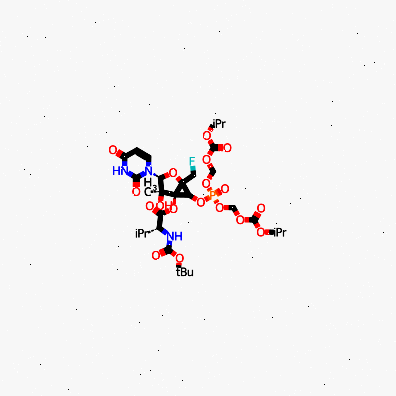 CC(C)OC(=O)OCOP(=O)(OCOC(=O)OC(C)C)OC1C2(CF)O[C@@H](n3ccc(=O)[nH]c3=O)[C@](C)(O)[C@@]12OC(=O)[C@H](NC(=O)OC(C)(C)C)C(C)C